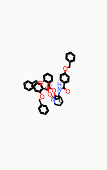 O=C(NC1CC2CCN(CC2)C1(OC(=O)c1ccccc1OCc1ccccc1)OC(=O)c1ccccc1OCc1ccccc1)c1ccc(OCc2ccccc2)cc1